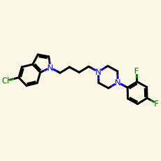 Fc1ccc(N2CCN(CCCCn3ccc4cc(Cl)ccc43)CC2)c(F)c1